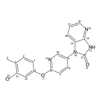 Cc1ccc(Oc2ccc(-n3c(=O)[nH]c4ncccc43)cn2)cc1Cl